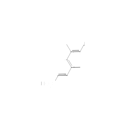 CC(=CI)C=C(C)C=CC(=O)O